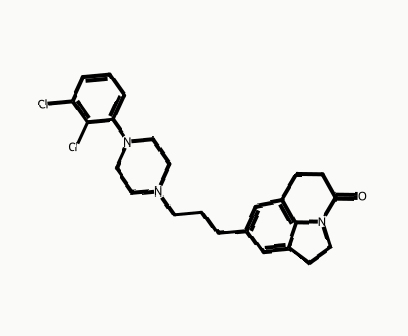 O=C1CCc2cc(CCCN3CCN(c4cccc(Cl)c4Cl)CC3)cc3c2N1CC3